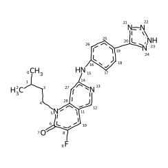 CC(C)CCn1c(=O)c(F)cc2cnc(Nc3ccc(-c4nn[nH]n4)cc3)cc21